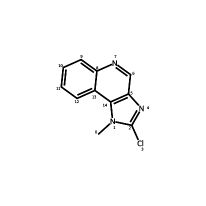 Cn1c(Cl)nc2cnc3ccccc3c21